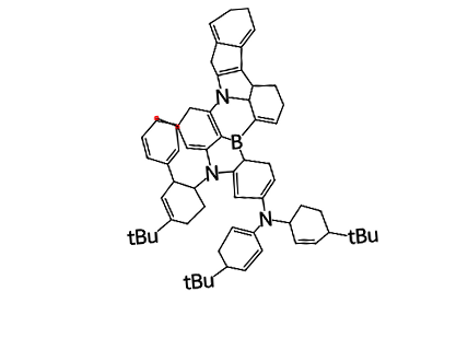 CC1C=C2C3=C(C1)N1C4=C(C5=CCCC=C5C4)C4CCC=C(B3C3CC=C(N(C5=CCC(C(C)(C)C)C=C5)C5C=CC(C(C)(C)C)CC5)C=C3N2C2CCC(C(C)(C)C)=CC2C2=CCCC=C2)C41